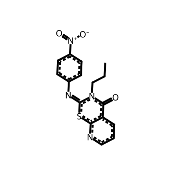 CCCn1c(=Nc2ccc([N+](=O)[O-])cc2)sc2ncccc2c1=O